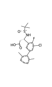 Cc1cccc(C)c1-c1cc(Cl)c(F)c([C@H](CC(=O)O)N[S@+]([O-])C(C)(C)C)c1